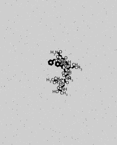 CC(C)C[C@H](NC(=O)CNC(=O)[C@H](CCC(N)=O)NC(=O)OCc1ccccc1)C(=O)N[C@@H](Cc1c[nH]c2ccccc12)C(=O)N[C@@H](C)C(=O)N[C@@H](CSSSC(C)(C)C)C(=O)NCC(=O)N[C@@H](C)C(=O)O